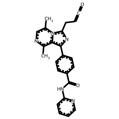 Cc1ncc(C)n2c(CC=C=O)nc(-c3ccc(C(=O)Nc4ccccn4)cc3)c12